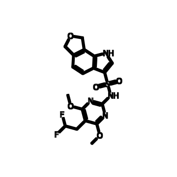 COc1nc(NS(=O)(=O)c2c[nH]c3c4c(ccc23)COC4)nc(OC)c1CC(F)F